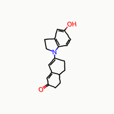 O=C1C=C2C=C(N3CCc4cc(O)ccc43)CCC2CC1